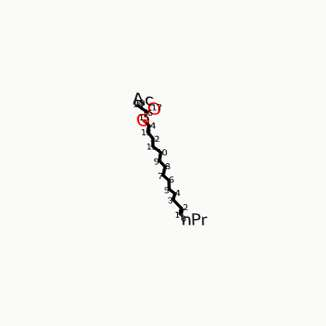 CCCC=CCCCCCCCCCCCCOC(=O)CC(C)=O